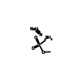 B.C#N.COS(=O)(=O)F.[NaH]